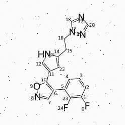 Fc1cccc(-c2cnoc2-c2c[nH]c(CCn3cncn3)c2)c1F